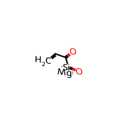 C=CC(=O)[Si]=O.[Mg]